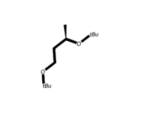 C[C@H](CCOC(C)(C)C)OC(C)(C)C